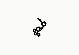 CC#Cc1cccc(CN2CCC(=O)C(C(=O)OC)C2)c1